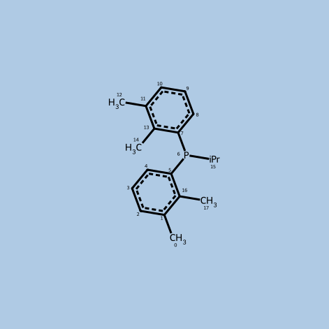 Cc1cccc(P(c2cccc(C)c2C)C(C)C)c1C